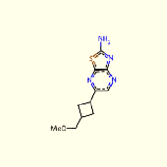 COCC1CC(c2cnc3nc(N)sc3n2)C1